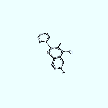 Cc1c(-c2ccccn2)nc2ccc(F)cc2c1Cl